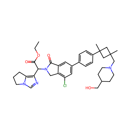 CCOC(=O)C(c1ncn2c1CCC2)N1Cc2c(Cl)cc(-c3ccc(C4(C)CC(C)(CN5CCC(CO)CC5)C4)cc3)cc2C1=O